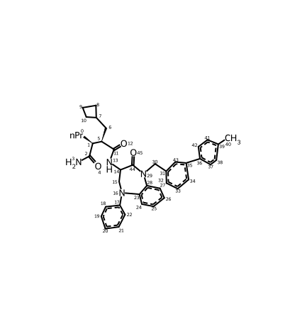 CCC[C@H](C(N)=O)[C@@H](CC1CCC1)C(=O)NC1CN(c2ccccc2)c2ccccc2N(Cc2cccc(-c3ccc(C)cc3)c2)C1=O